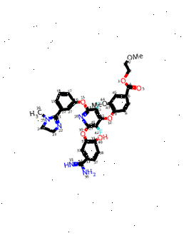 COCCOC(=O)c1ccc(Oc2c(F)c(Oc3cccc(C4=NCCN4C)c3)nc(Oc3cc(C(=N)N)ccc3O)c2F)c(OC)c1